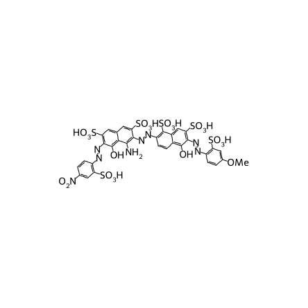 COc1ccc(N=Nc2c(S(=O)(=O)O)cc3c(S(=O)(=O)O)c(N=Nc4c(S(=O)(=O)O)cc5cc(S(=O)(=O)O)c(N=Nc6ccc([N+](=O)[O-])cc6S(=O)(=O)O)c(O)c5c4N)ccc3c2O)c(S(=O)(=O)O)c1